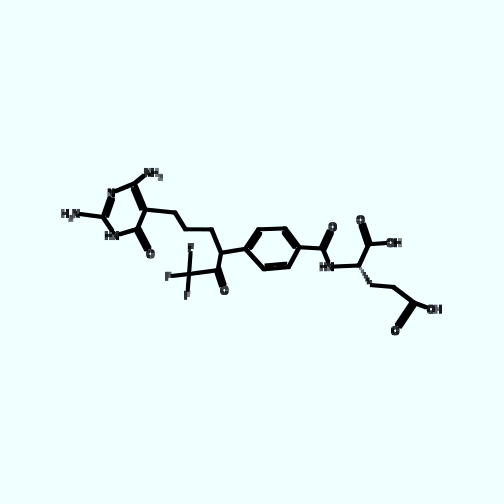 Nc1nc(N)c(CCCC(C(=O)C(F)(F)F)c2ccc(C(=O)N[C@@H](CCC(=O)O)C(=O)O)cc2)c(=O)[nH]1